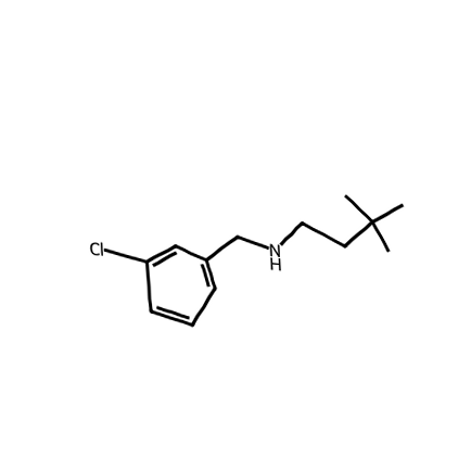 CC(C)(C)CCNCc1cccc(Cl)c1